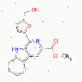 COC(=O)c1cc2c([nH]c3ccccc32)c(-c2ccc(CO)o2)n1